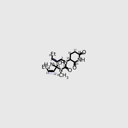 CC/C=C\CN(C(=O)N(C)C(C)(N)/C=C\CC)C1CCC(=O)NC1=O